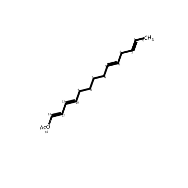 CC=CCC=CCCCCC=CC=COC(C)=O